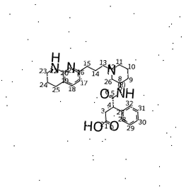 O=C(O)CC(C(=O)N[C@@H]1CCCN(CCCc2ccc3c(n2)NCCC3)C1)c1ccccc1